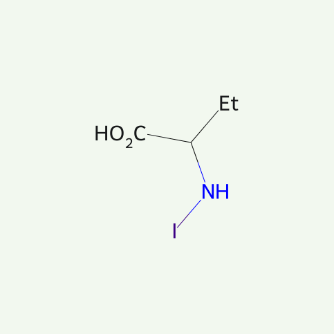 CCC(NI)C(=O)O